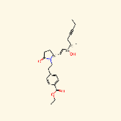 CCC#CC[C@H](C)[C@H](O)C=C[C@H]1CCC(=O)N1CCc1ccc(C(=O)OCC)cc1